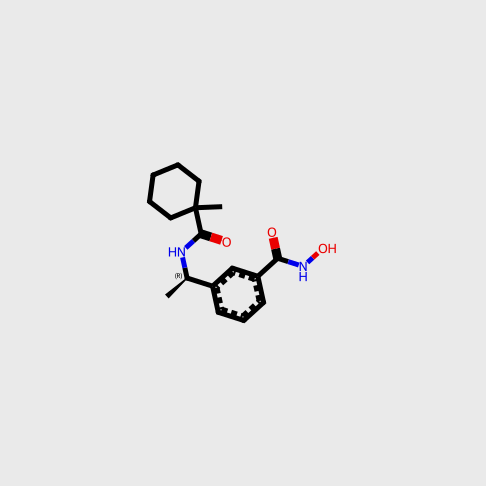 C[C@@H](NC(=O)C1(C)CCCCC1)c1cccc(C(=O)NO)c1